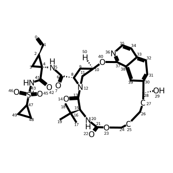 C=C[C@@H]1C[C@]1(NC(=O)[C@@H]1C[C@@H]2CN1C(=O)[C@H](C(C)(C)C)NC(=O)OCCCC[C@@H](O)c1ccc3ccnc(c3c1)O2)C(=O)NS(=O)(=O)C1CC1